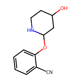 N#Cc1ccccc1OC1CC(O)CCN1